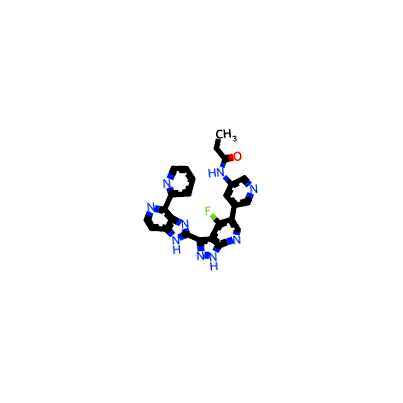 CCC(=O)Nc1cncc(-c2cnc3[nH]nc(-c4nc5c(-c6ccccn6)nccc5[nH]4)c3c2F)c1